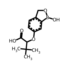 CC(C)(C)C(Oc1ccc2c(c1)B(O)OC2)C(=O)O